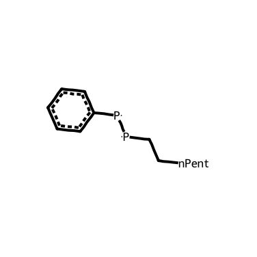 CCCCCCC[P][P]c1ccccc1